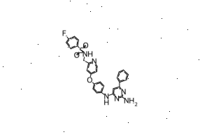 Nc1nc(Nc2ccc(Oc3ccnc(CNS(=O)(=O)c4ccc(F)cc4)c3)cc2)cc(-c2ccccc2)n1